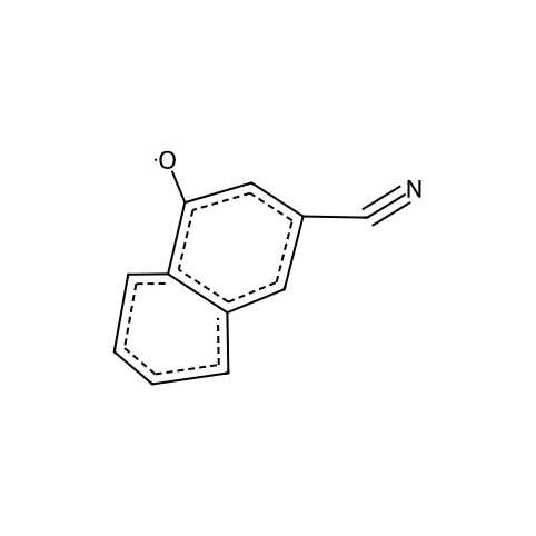 N#Cc1cc([O])c2ccccc2c1